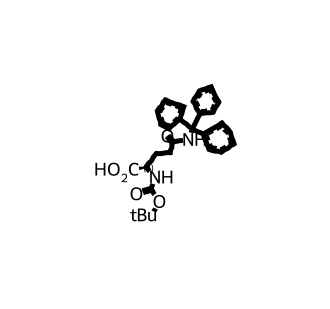 CC(C)(C)OC(=O)N[C@H](CCC(=O)NC(c1ccccc1)(c1ccccc1)c1ccccc1)C(=O)O